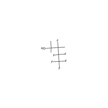 CC(C)(O)C(C)(F)C(F)(F)C(F)(F)F